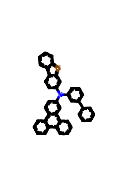 c1ccc(-c2cccc(N(c3ccc4c(c3)sc3ccccc34)c3ccc4c5ccccc5c5ccccc5c4c3)c2)cc1